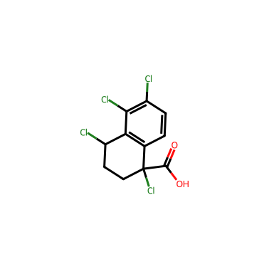 O=C(O)C1(Cl)CCC(Cl)c2c1ccc(Cl)c2Cl